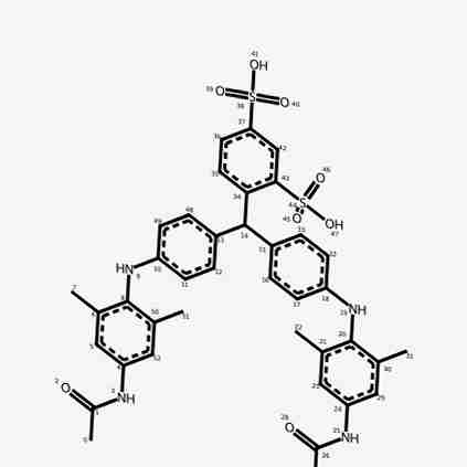 CC(=O)Nc1cc(C)c(Nc2ccc(C(c3ccc(Nc4c(C)cc(NC(C)=O)cc4C)cc3)c3ccc(S(=O)(=O)O)cc3S(=O)(=O)O)cc2)c(C)c1